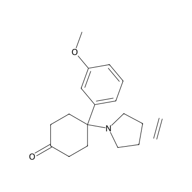 C=C.COc1cccc(C2(N3CCCC3)CCC(=O)CC2)c1